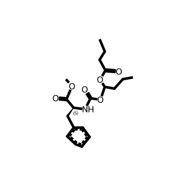 CCCC(=O)OC(CCC)OC(=O)N[C@@H](Cc1ccccc1)C(=O)OC